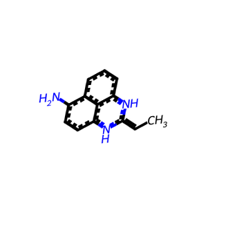 C/C=c1\[nH]c2cccc3c(N)ccc([nH]1)c23